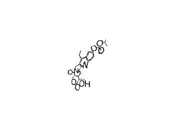 CCc1c2c(nc3ccc(OC(=O)OC(C)C)cc13)-c1cc3c(c(=O)n1C2)COC(=O)[C@]3(O)CC